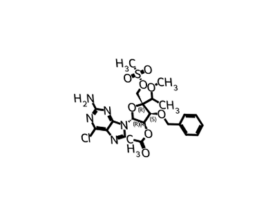 COC(C)[C@@]1(COS(C)(=O)=O)O[C@@H](n2cnc3c(Cl)nc(N)nc32)[C@H](OC(C)=O)[C@@H]1OCc1ccccc1